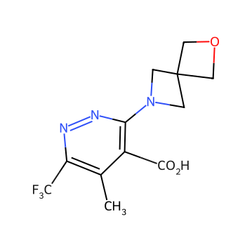 Cc1c(C(F)(F)F)nnc(N2CC3(COC3)C2)c1C(=O)O